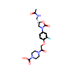 CC(=O)NC[C@H]1CN(c2ccc(OCC(=O)N3CCN(C(=O)O)CC3)c(F)c2)C(=O)O1